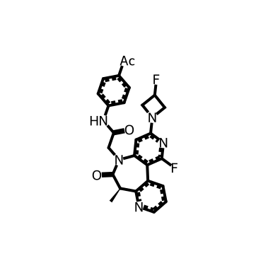 CC(=O)c1ccc(NC(=O)CN2C(=O)[C@H](C)c3ncccc3-c3c2cc(N2CC(F)C2)nc3F)cc1